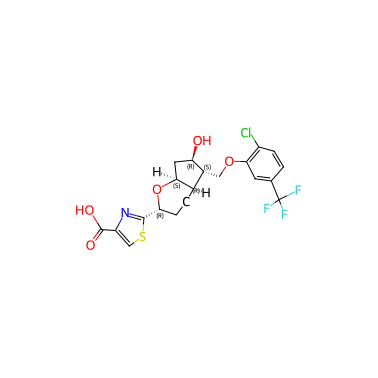 O=C(O)c1csc([C@H]2CC[C@@H]3[C@@H](COc4cc(C(F)(F)F)ccc4Cl)[C@H](O)C[C@@H]3O2)n1